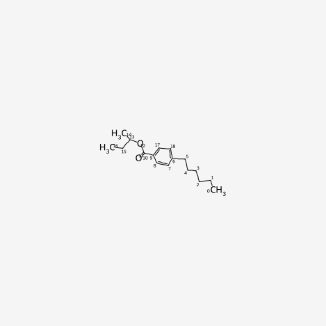 CCCCCCc1ccc(C(=O)OC(C)CC)cc1